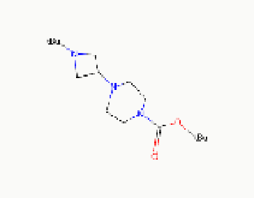 CC(C)(C)OC(=O)N1CCN(C2CN(C(C)(C)C)C2)CC1